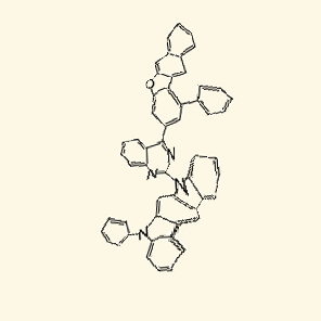 c1ccc(-c2cc(-c3nc(-n4c5ccccc5c5cc6c7ccccc7n(-c7ccccc7)c6cc54)nc4ccccc34)cc3oc4cc5ccccc5cc4c23)cc1